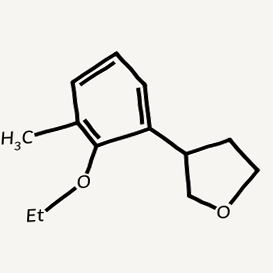 CCOc1c(C)cccc1C1CCOC1